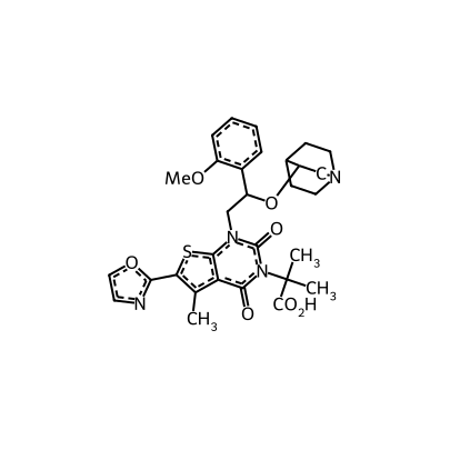 COc1ccccc1C(Cn1c(=O)n(C(C)(C)C(=O)O)c(=O)c2c(C)c(-c3ncco3)sc21)OC1CN2CCC1CC2